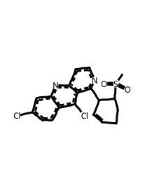 CS(=O)(=O)C1CCC=CC1c1nccc2nc3cc(Cl)ccc3c(Cl)c12